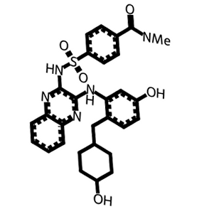 CNC(=O)c1ccc(S(=O)(=O)Nc2nc3ccccc3nc2Nc2cc(O)ccc2CC2CCC(O)CC2)cc1